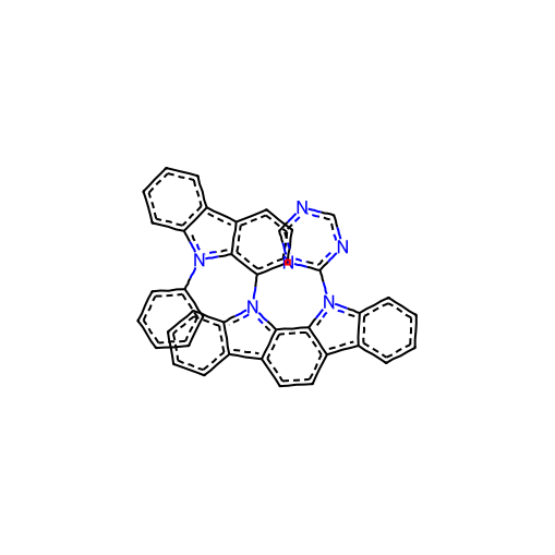 c1ccc(-n2c3ccccc3c3cccc(-n4c5ccccc5c5ccc6c7ccccc7n(-c7ncncn7)c6c54)c32)cc1